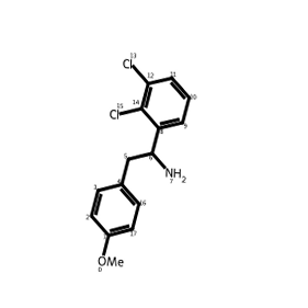 COc1ccc(CC(N)c2cccc(Cl)c2Cl)cc1